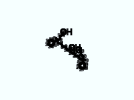 CC(CCCO)(CCCCCC(O)CCCCCC(C)(CCCO)c1ccccc1)c1ccccc1